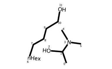 CC(O)N(C)C.CCCCCCCCCCO